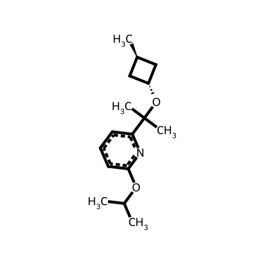 CC(C)Oc1cccc(C(C)(C)O[C@H]2C[C@H](C)C2)n1